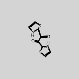 O=C(C(=O)C1NC=CS1)C1NC=CS1